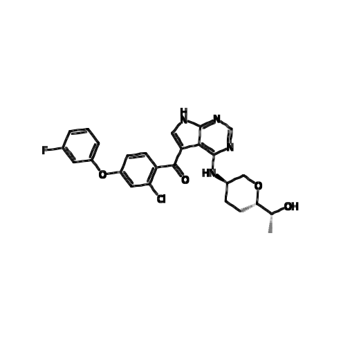 C[C@@H](O)[C@@H]1CC[C@@H](Nc2ncnc3[nH]cc(C(=O)c4ccc(Oc5cccc(F)c5)cc4Cl)c23)CO1